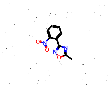 Cc1nc(-c2ccccc2[N+](=O)[O-])no1